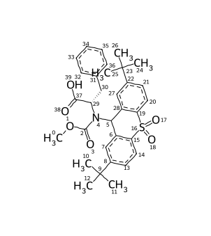 COC(=O)N(C1c2cc(C(C)(C)C)ccc2S(=O)(=O)c2ccc(C(C)(C)C)cc21)[C@@H](Cc1ccccc1)C(=O)O